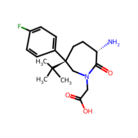 CC(C)(C)[C@@]1(c2ccc(F)cc2)CC[C@H](N)C(=O)N(CC(=O)O)C1